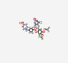 O=C(OC(Cc1c(Cl)c[n+]([O-])cc1Cl)c1ccc(OC(F)F)c(OCC2CC2)c1)c1ccc(CN2CCC(O)CC2)cc1